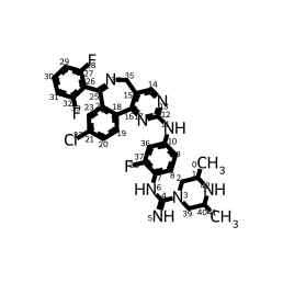 CC1CN(C(=N)Nc2ccc(Nc3ncc4c(n3)-c3ccc(Cl)cc3C(c3c(F)cccc3F)=NC4)cc2F)CC(C)N1